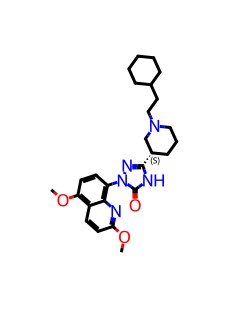 COc1ccc2c(OC)ccc(-n3nc([C@H]4CCCN(CCC5CCCCC5)C4)[nH]c3=O)c2n1